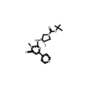 Cn1c(N[C@H]2CN(C(=O)OC(C)(C)C)C[C@@H]2F)nc(-c2ccncc2)cc1=O